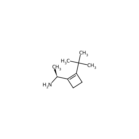 C[C@H](N)C1=C(C(C)(C)C)CC1